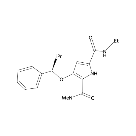 CCNC(=O)c1cc(O[C@@H](c2ccccc2)C(C)C)c(C(=O)NC)[nH]1